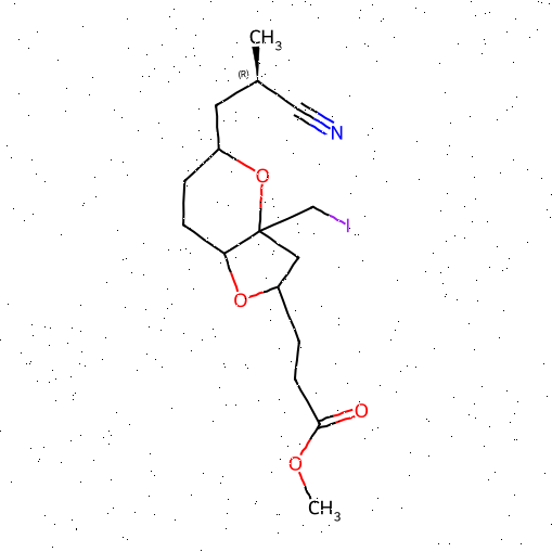 COC(=O)CCC1CC2(CI)OC(C[C@@H](C)C#N)CCC2O1